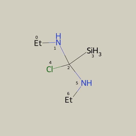 CCNC([SiH3])(Cl)NCC